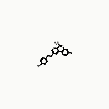 Cc1ccc2c(c1)nc(N)c1ncc(CCc3ccc(C#N)cc3)cc12